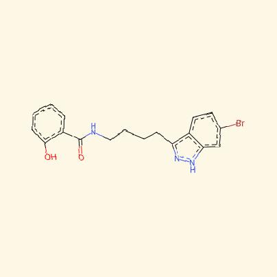 O=C(NCCCCc1n[nH]c2cc(Br)ccc12)c1ccccc1O